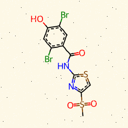 CS(=O)(=O)c1csc(NC(=O)c2cc(Br)c(O)cc2Br)n1